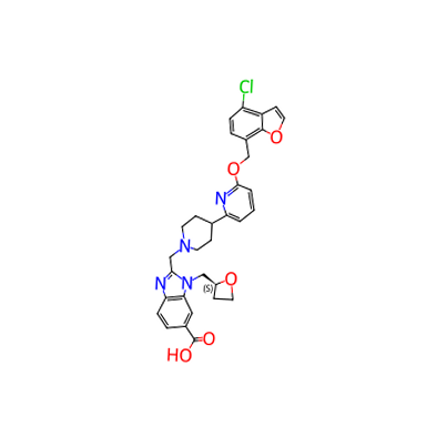 O=C(O)c1ccc2nc(CN3CCC(c4cccc(OCc5ccc(Cl)c6ccoc56)n4)CC3)n(C[C@@H]3CCO3)c2c1